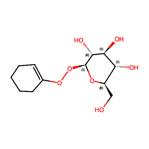 OC[C@H]1O[C@@H](OOC2=CCCCC2)[C@H](O)[C@@H](O)[C@@H]1O